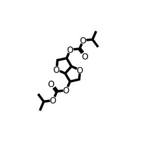 CC(C)OC(=O)OC1COC2C(OC(=O)OC(C)C)COC12